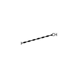 C#CC#CC#CC#CC#CC#CC#CI